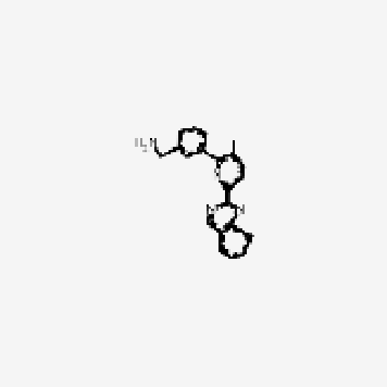 Cc1ccc(-c2ncc3ccccc3n2)nc1-c1cccc(CN)c1